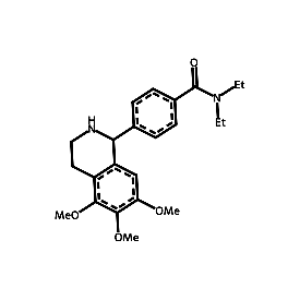 CCN(CC)C(=O)c1ccc(C2NCCc3c2cc(OC)c(OC)c3OC)cc1